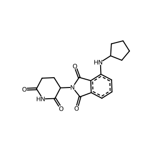 O=C1CCC(N2C(=O)c3cccc(NC4CCCC4)c3C2=O)C(=O)N1